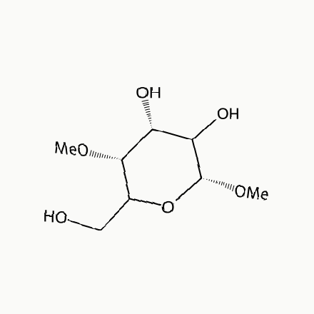 CO[C@@H]1OC(CO)[C@H](OC)[C@H](O)C1O